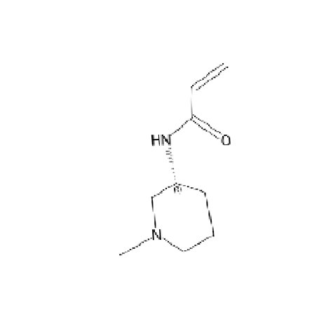 C=CC(=O)N[C@@H]1CCCN(C)C1